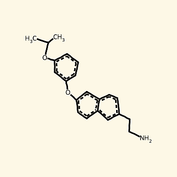 CC(C)Oc1cccc(Oc2ccc3cc(CCN)ccc3c2)c1